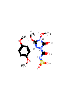 COc1ccc(OC)cc1.COc1nn(C(=O)N=S(=O)=O)c(=O)n1OC